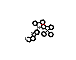 c1ccc(-c2ccccc2N(c2ccc3c(c2)C(c2ccccc2)(c2ccccc2)c2ccccc2-3)c2ccc3c(c2)sc2c4cnccc4ccc32)cc1